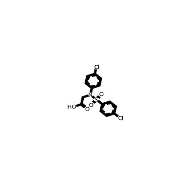 O=C(O)CN(c1ccc(Cl)cc1)S(=O)(=O)c1ccc(Cl)cc1